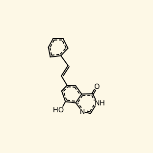 O=c1[nH]cnc2c(O)cc(C=Cc3ccccc3)cc12